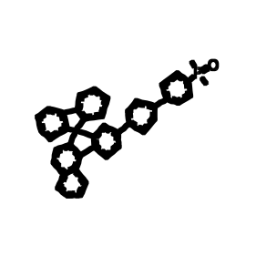 CP(C)(=O)c1ccc(-c2ccc(-c3ccc4c(c3)C3(c5ccccc5-c5ccccc53)c3ccc5ccccc5c3-4)cc2)cc1